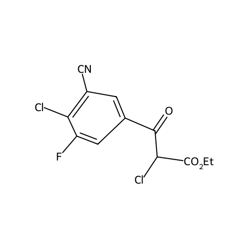 CCOC(=O)C(Cl)C(=O)c1cc(F)c(Cl)c(C#N)c1